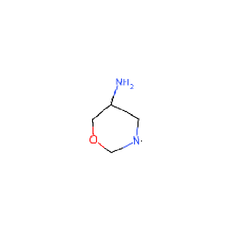 NC1C[N]COC1